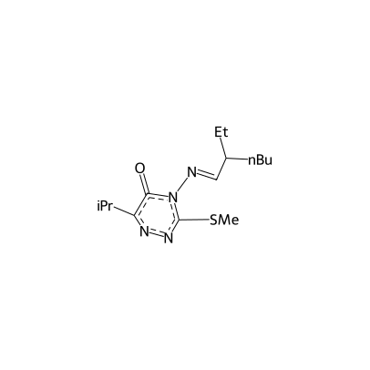 CCCCC(C=Nn1c(SC)nnc(C(C)C)c1=O)CC